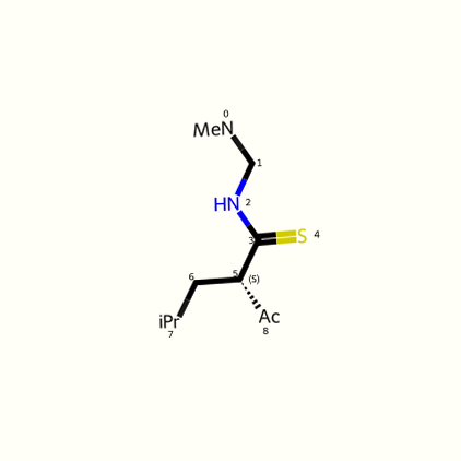 CNCNC(=S)[C@@H](CC(C)C)C(C)=O